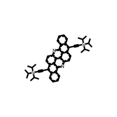 CC(C)[Si](C#Cc1c2ccccc2c2nc3ccc4c(C#C[Si](C(C)C)(C(C)C)C(C)C)c5ccccc5c5nc6ccc1c2c6c3c45)(C(C)C)C(C)C